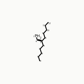 CCCCCC(=CP)CCCCC